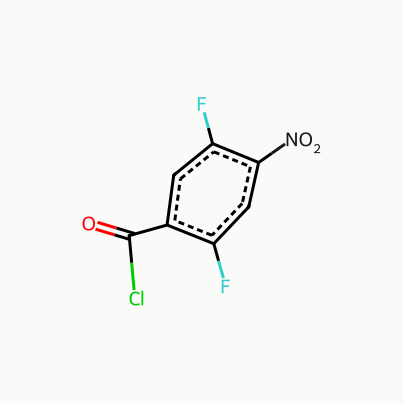 O=C(Cl)c1cc(F)c([N+](=O)[O-])cc1F